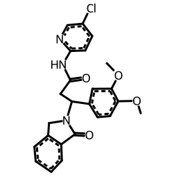 COc1ccc(C(CC(=O)Nc2ccc(Cl)cn2)N2Cc3ccccc3C2=O)cc1OC